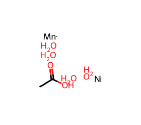 CC(=O)O.O.O.O.O.[Mn].[Ni]